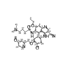 CCOc1cc2ncc(C#N)c(Nc3ccc(OCc4cc(OC)ccn4)c(Cl)c3)c2cc1NC(=O)CCCN(C)C